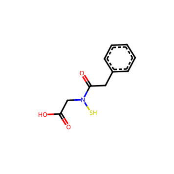 O=C(O)CN(S)C(=O)Cc1ccccc1